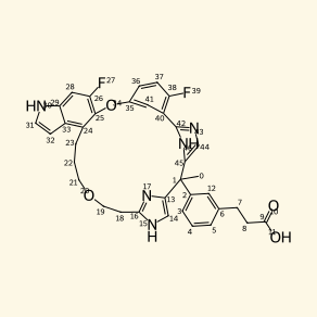 CC1(c2cccc(CCC(=O)O)c2)c2c[nH]c(n2)CCOCCCc2c(c(F)cc3[nH]ccc23)Oc2ccc(F)c(c2)-c2ncc1[nH]2